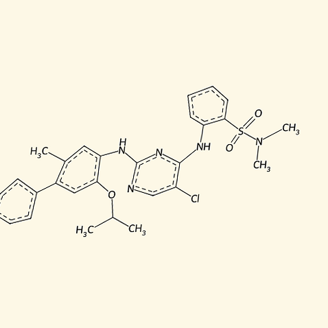 Cc1cc(Nc2ncc(Cl)c(Nc3ccccc3S(=O)(=O)N(C)C)n2)c(OC(C)C)cc1-c1ccncc1